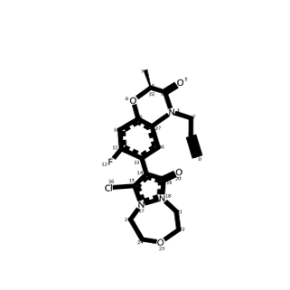 C#CCN1C(=O)[C@H](C)Oc2cc(F)c(-c3c(Cl)n4n(c3=O)CCOCC4)cc21